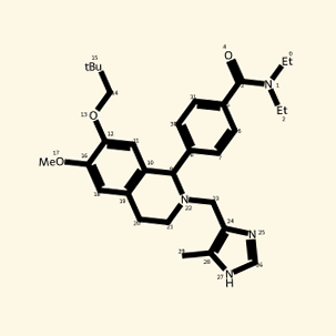 CCN(CC)C(=O)c1ccc(C2c3cc(OCC(C)(C)C)c(OC)cc3CCN2Cc2nc[nH]c2C)cc1